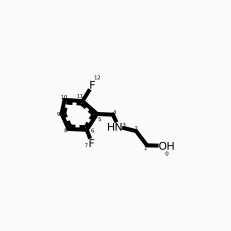 OCCN[CH]c1c(F)cccc1F